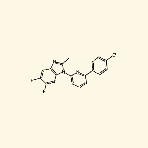 Cc1nc2cc(F)c(F)cc2n1-c1cccc(-c2ccc(Cl)cc2)n1